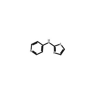 [c]1csc(Nc2ccncc2)n1